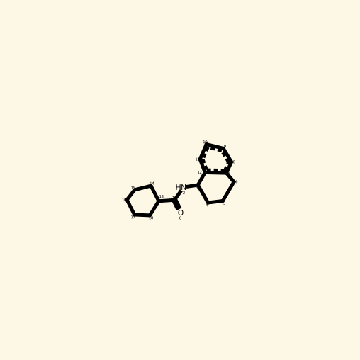 O=C(NC1CCCc2ccccc21)C1CCCCC1